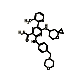 Cc1cccnc1-c1nc(C(N)=O)c(Nc2ccc(CN3CCOCC3)cc2)nc1NC1CCOC2(CC2)C1